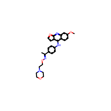 COc1ccc2c(Nc3ccc(C(C)=NOCCN4CCOCC4)cc3)c3ccoc3nc2c1